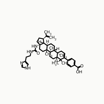 C=C(C)[C@@H]1CC[C@]2(NC(=O)NCCc3c[nH]cn3)CC[C@]3(C)[C@H](CC[C@@H]4[C@@]5(C)CC=C(c6ccc(C(=O)O)cc6)C(C)(C)[C@@H]5CC[C@]43C)[C@@H]12